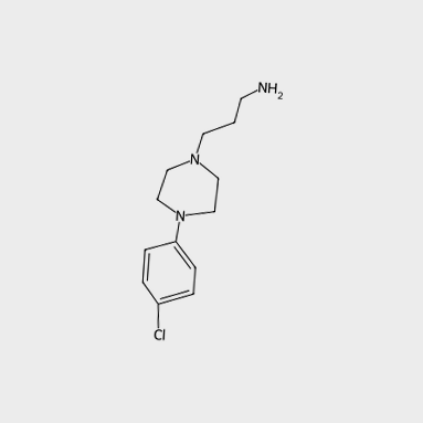 NCCCN1CCN(c2ccc(Cl)cc2)CC1